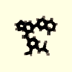 COc1cc(Nc2nc(-c3cnc4c(c3)NCCO4)cn3ccnc23)ccc1OC(F)F